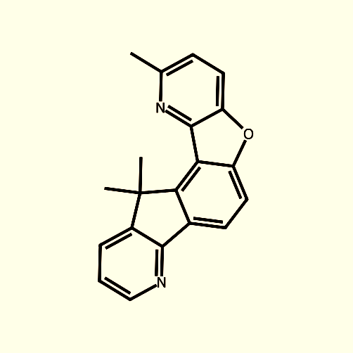 Cc1ccc2oc3ccc4c(c3c2n1)C(C)(C)c1cccnc1-4